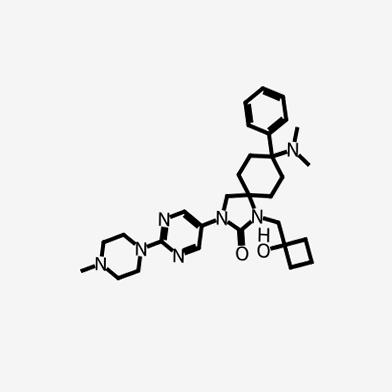 CN1CCN(c2ncc(N3CC4(CCC(c5ccccc5)(N(C)C)CC4)N(CC4(O)CCC4)C3=O)cn2)CC1